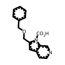 O=C(O)n1c(COCc2ccccc2)cc2ccncc21